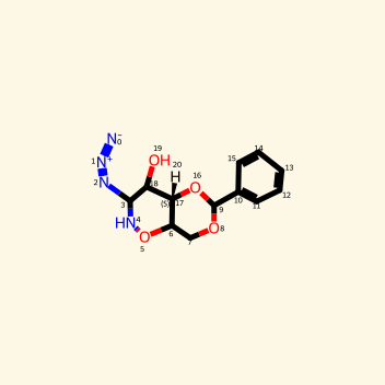 [N-]=[N+]=NC1NOC2COC(c3ccccc3)O[C@H]2C1O